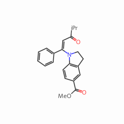 COC(=O)c1ccc2c(c1)CCN2/C(=C\C(=O)C(C)C)c1ccccc1